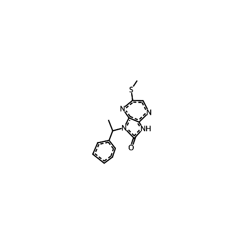 CSc1cnc2[nH]c(=O)n(C(C)c3ccccc3)c2n1